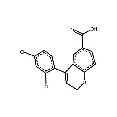 O=C(O)c1ccc2c(c1)C(c1ccc(Cl)cc1Cl)=CCO2